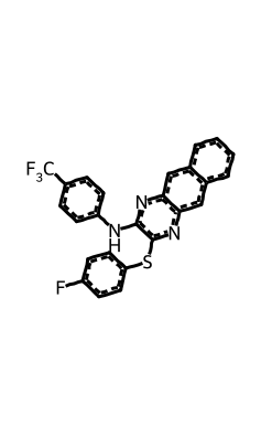 Fc1ccc(Sc2nc3cc4ccccc4cc3nc2Nc2ccc(C(F)(F)F)cc2)cc1